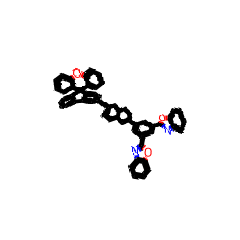 c1ccc2c(c1)Oc1ccccc1C21c2ccccc2-c2cc(-c3ccc4cc(-c5cc(-c6nc7ccccc7o6)cc(-c6nc7ccccc7o6)c5)ccc4c3)ccc21